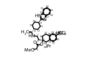 COCC(=O)O[C@]1(CCNC(C)[C@H]2CC[C@H](c3nc4ccccc4[nH]3)CC2)CCc2cc(F)ccc2[C@@H]1C(C)C.Cl.Cl